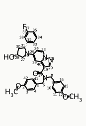 COc1ccc(CN(Cc2ccc(OC)cc2)C(=O)c2cnn3ccc(N4C[C@H](O)C[C@@H]4c4cccc(F)c4)cc23)cc1